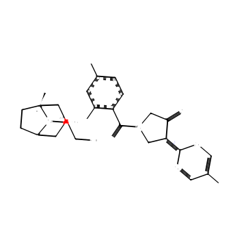 N=C1CN(C(=O)c2ccc(F)cc2O[C@@H]2CC3CC[C@H](C2)N3CCO)C/C1=C1\N=CC(Cl)=CN1